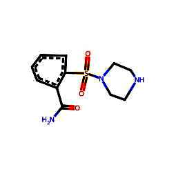 NC(=O)c1ccccc1S(=O)(=O)N1CCNCC1